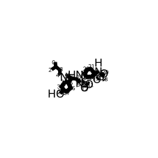 CC(C)CCn1cc(C2=NS(=O)(=O)c3cc(NS(C)(=O)=O)ccc3N2)c2ccc(O)cc21